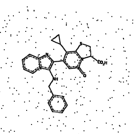 O=C(O)C1CSc2c(C3CC3)c(-c3nc4ccccn4c3NCc3ccccc3)cc(=O)n21